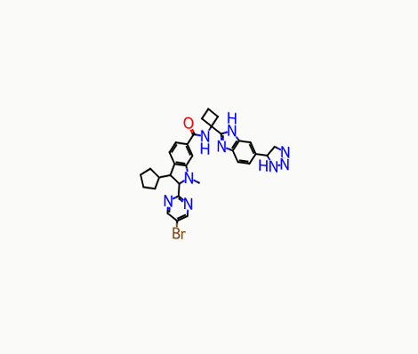 CN1c2cc(C(=O)NC3(c4nc5ccc(C6CN=NN6)cc5[nH]4)CCC3)ccc2C(C2CCCC2)C1c1ncc(Br)cn1